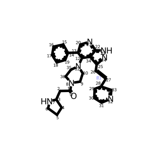 O=C(CC1CCCN1)N1CCN(c2c(-c3ccccc3)cnc3[nH]nc(/C=C/c4cccnc4)c23)CC1